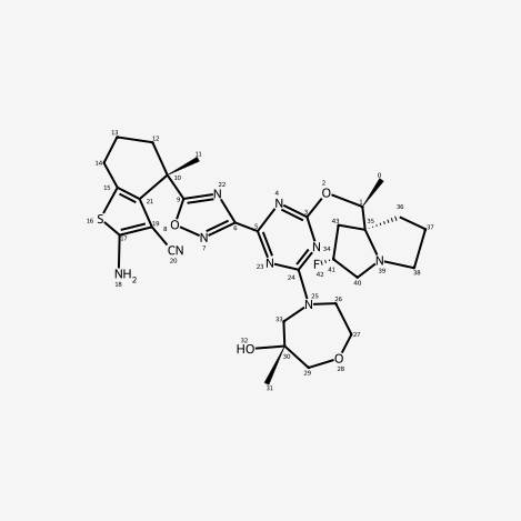 C[C@H](Oc1nc(-c2noc([C@@]3(C)CCCc4sc(N)c(C#N)c43)n2)nc(N2CCOC[C@](C)(O)C2)n1)[C@@]12CCCN1C[C@H](F)C2